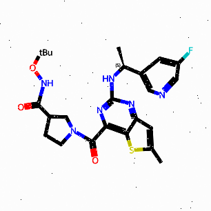 Cc1cc2nc(N[C@@H](C)c3cncc(F)c3)nc(C(=O)N3CCC(C(=O)NOC(C)(C)C)C3)c2s1